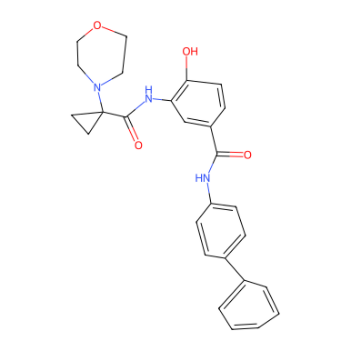 O=C(Nc1ccc(-c2ccccc2)cc1)c1ccc(O)c(NC(=O)C2(N3CCOCC3)CC2)c1